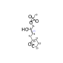 CS(=O)(=O)OC/C(O)=C/CC1CCCCO1